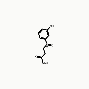 COC(=O)CC[PH](=O)c1cccc(O)c1